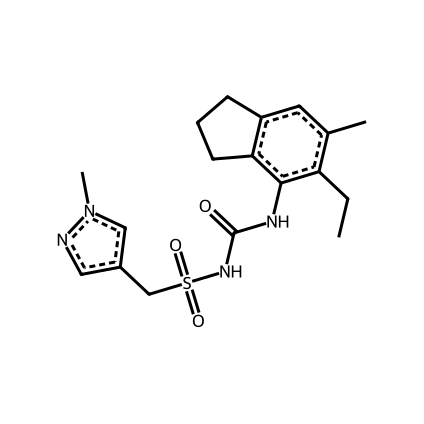 CCc1c(C)cc2c(c1NC(=O)NS(=O)(=O)Cc1cnn(C)c1)CCC2